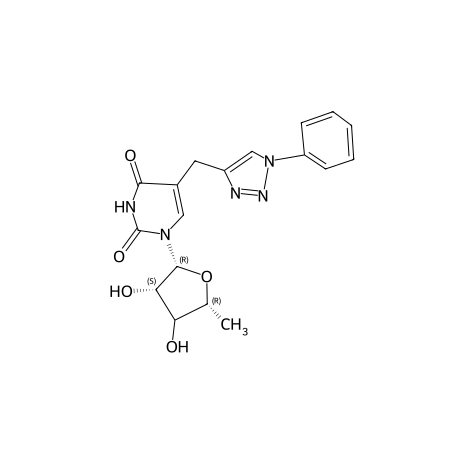 C[C@H]1O[C@@H](n2cc(Cc3cn(-c4ccccc4)nn3)c(=O)[nH]c2=O)[C@@H](O)C1O